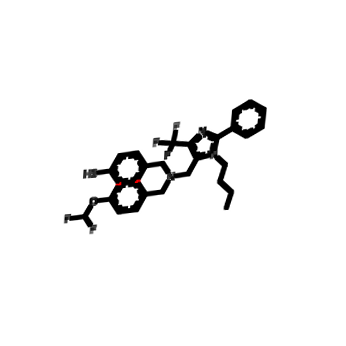 CCCCn1c(-c2ccccc2)nc(C(F)(F)F)c1CN(Cc1ccc(S)cc1)Cc1ccc(OC(F)F)cc1